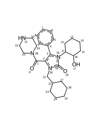 O=C(c1c(-c2ccccc2)n(C2CCCCC2O)c(=O)n1CC1CCCCC1)N1CCNCC1